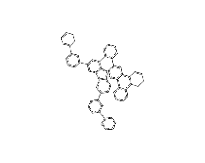 C1=CCCC(c2cccc(-c3cc(-c4ccccc4-c4cnc5c(n4)c4c(c6ccccc65)CCC=C4)c4oc5ccc(-c6cccc(-c7ccccc7)c6)cc5c4c3)c2)=C1